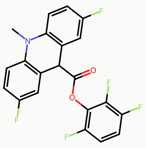 CN1c2ccc(F)cc2C(C(=O)Oc2c(F)ccc(F)c2F)c2cc(F)ccc21